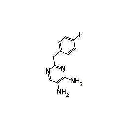 Nc1cnc(Cc2ccc(F)cc2)nc1N